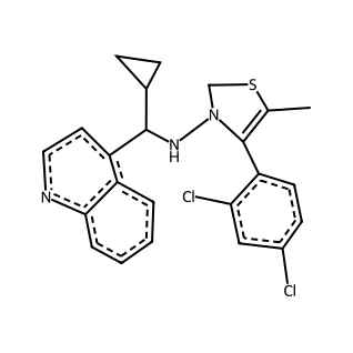 CC1=C(c2ccc(Cl)cc2Cl)N(NC(c2ccnc3ccccc23)C2CC2)CS1